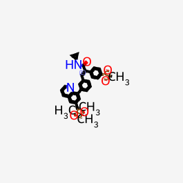 CC(C)(c1cc(-c2cccc(/C=C(/C(=O)NC3CC3)c3ccc(S(C)(=O)=O)cc3)c2)c2ncccc2c1)S(C)(=O)=O